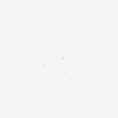 C[C@]12CC[C@@H](O)CC1=C[C@@H](CCO)[C@@H]1[C@@H]2CC[C@]2(C)C(n3ccnc3)=CC[C@@H]12